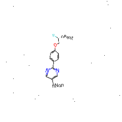 CCCCCCCCCc1cnc(-c2ccc(OC[C@H](F)CCCCC)cc2)nc1